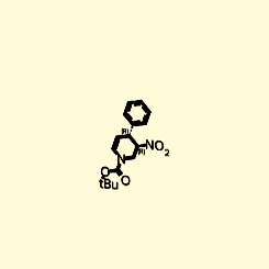 CC(C)(C)OC(=O)N1C=C[C@H](c2ccccc2)[C@@H]([N+](=O)[O-])C1